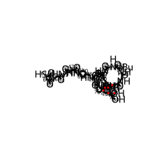 CC[C@H](C)[C@@H]1NC(=O)CNC(=O)[C@H]2Cc3c([nH]c4ccccc34)SC[C@@H](NC(=O)CNC1=O)C(=O)N[C@@H](CC(=O)NCc1ccc(NC(=O)[C@H](C)NC(=O)CNC(=O)CCN3C(=O)CC(S)C3=O)cc1)C(=O)N1CCCC1C[C@@H](C[C@@H](O)CO)C(=O)N2